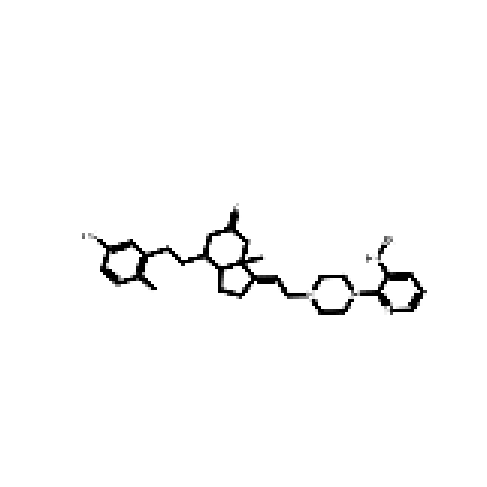 CCNc1cccnc1N1CCN(CC=C2CCC3C(CCc4cc(O)ccc4C)CC(=O)CC23C)CC1